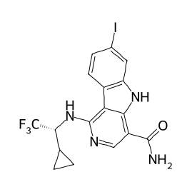 NC(=O)c1cnc(N[C@H](C2CC2)C(F)(F)F)c2c1[nH]c1cc(I)ccc12